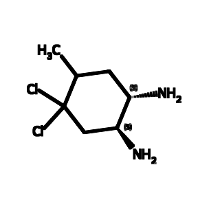 CC1C[C@H](N)[C@@H](N)CC1(Cl)Cl